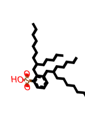 CCCCCCCC(CCCCC)Cc1cccc(S(=O)(=O)O)c1CC(CCCCC)CCCCCCC